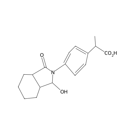 CC(C(=O)O)c1ccc(N2C(=O)C3CCCCC3C2O)cc1